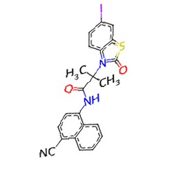 CC(C)(C(=O)Nc1ccc(C#N)c2ccccc12)n1c(=O)sc2cc(I)ccc21